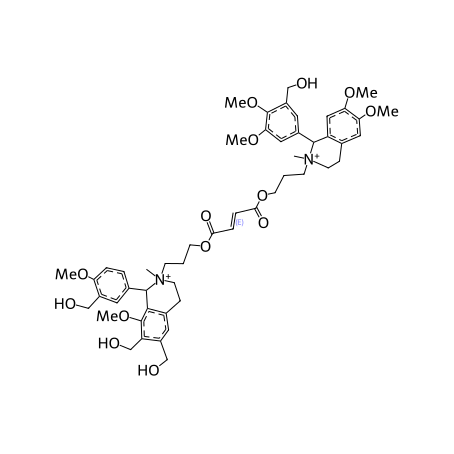 COc1ccc(C2c3c(cc(CO)c(CO)c3OC)CC[N+]2(C)CCCOC(=O)/C=C/C(=O)OCCC[N+]2(C)CCc3cc(OC)c(OC)cc3C2c2cc(CO)c(OC)c(OC)c2)cc1CO